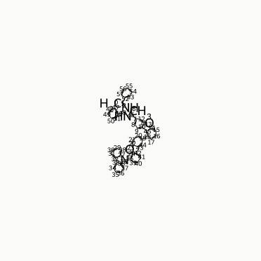 C=C(NC(N[C@H](C)c1ccc2c(c1)oc1cccc(-c3ccc4oc5c(-n6c7ccccc7c7ccccc76)cccc5c4c3)c12)c1ccccc1)c1ccccc1